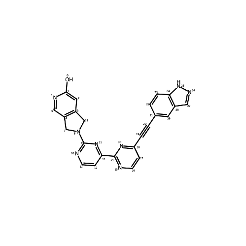 Oc1cc2c(cn1)CN(c1nccc(-c3nccc(C#Cc4ccc5[nH]ncc5c4)n3)n1)C2